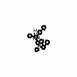 c1ccc(C2=NC(c3ccc4c5c(cccc35)-c3c(-c5ccccc5)cccc3N4c3ccccc3)=NC(c3ccc(-c4ccccc4)cc3)N2)cc1